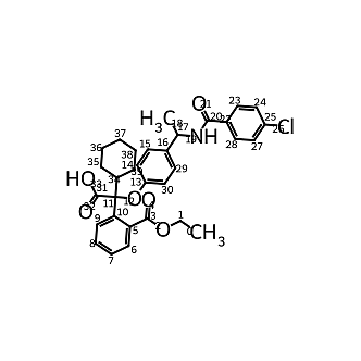 CCOC(=O)c1ccccc1C(Oc1ccc(C(C)NC(=O)c2ccc(Cl)cc2)cc1)(C(=O)O)C1CCCCC1